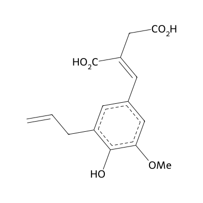 C=CCc1cc(/C=C(/CC(=O)O)C(=O)O)cc(OC)c1O